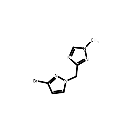 Cn1cnc(Cn2ccc(Br)n2)n1